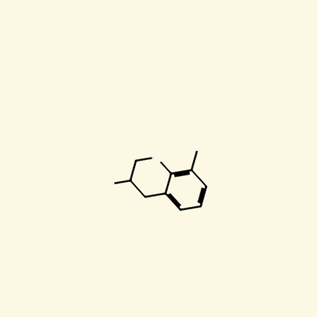 Cc1cccc2c1OCC(O)C2